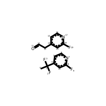 CC(F)(F)c1ccnc(F)c1.O=CCc1ccnc(F)c1